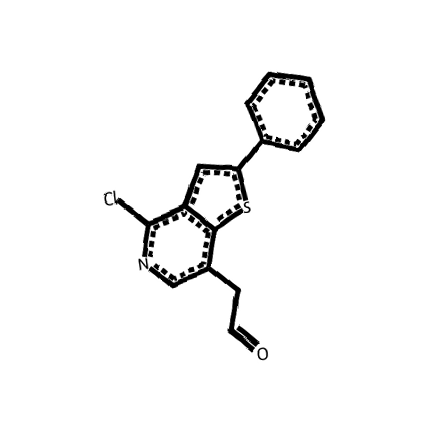 O=CCc1cnc(Cl)c2cc(-c3ccccc3)sc12